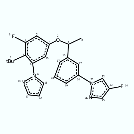 CC(Oc1cc(F)c(C(C)(C)C)c(-n2cccn2)c1)c1cccc(-n2cc(F)cn2)c1